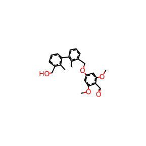 COc1cc(OCc2cccc(-c3cccc(CO)c3C)c2C)cc(OC)c1C=O